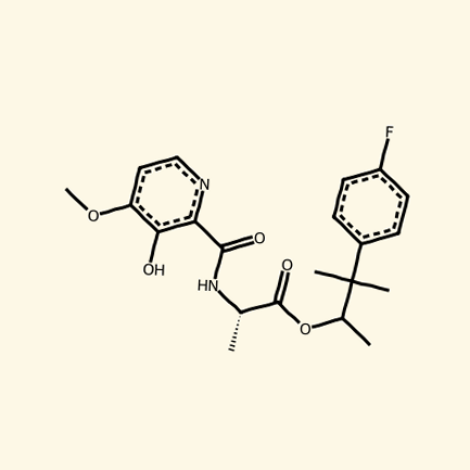 COc1ccnc(C(=O)N[C@@H](C)C(=O)OC(C)C(C)(C)c2ccc(F)cc2)c1O